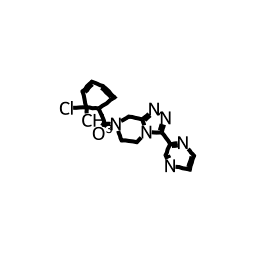 CC1(Cl)C=CC=CC1C(=O)N1CCn2c(nnc2-c2cnccn2)C1